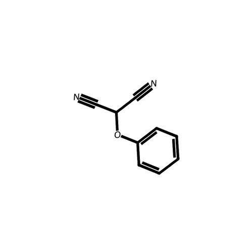 N#CC(C#N)Oc1ccccc1